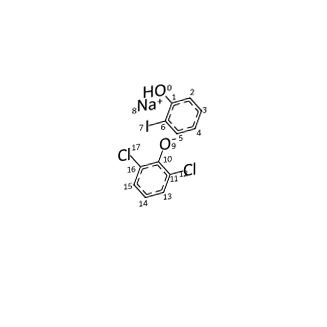 Oc1ccccc1I.[Na+].[O-]c1c(Cl)cccc1Cl